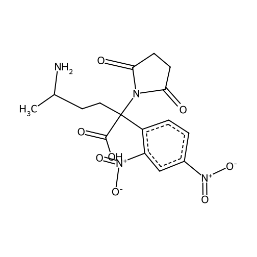 CC(N)CCC(C(=O)O)(c1ccc([N+](=O)[O-])cc1[N+](=O)[O-])N1C(=O)CCC1=O